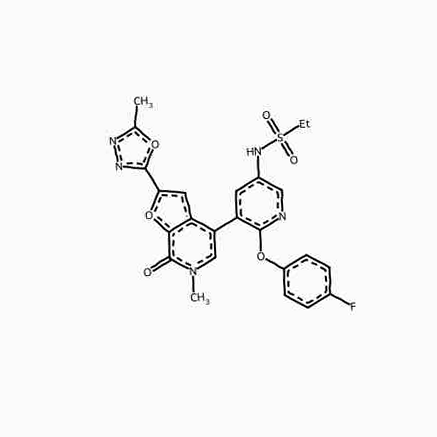 CCS(=O)(=O)Nc1cnc(Oc2ccc(F)cc2)c(-c2cn(C)c(=O)c3oc(-c4nnc(C)o4)cc23)c1